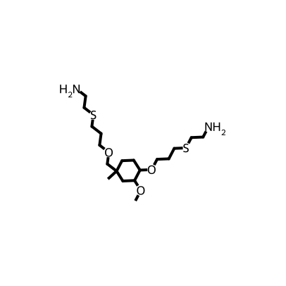 COC1CC(C)(COCCCSCCN)CCC1OCCCSCCN